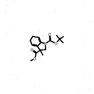 COC(=O)C1(C)CN(C(=O)OC(C)(C)C)C2=CCCC=C21